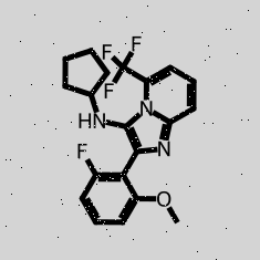 COc1cccc(F)c1-c1nc2cccc(C(F)(F)F)n2c1NC1CCCC1